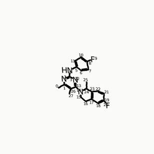 Cc1nc(Nc2ccc(F)cc2)nc(N2CCc3cc(F)ccc3C2C)c1C